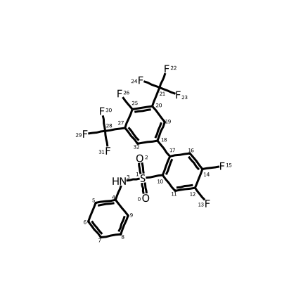 O=S(=O)(Nc1ccccc1)c1cc(F)c(F)cc1-c1cc(C(F)(F)F)c(F)c(C(F)(F)F)c1